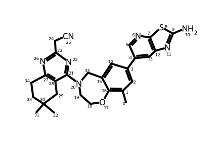 Cc1cc(-c2cnc3sc(N)nc3c2)cc2c1OCCN(c1nc(CC#N)nc3c1CC(C)(C)CC3)C2